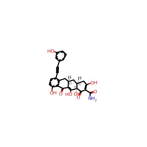 NC(=O)C1=C(O)C[C@@H]2C[C@@H]3Cc4c(C#Cc5cccc(O)c5)ccc(O)c4C(=O)C3=C(O)[C@]2(O)C1=O